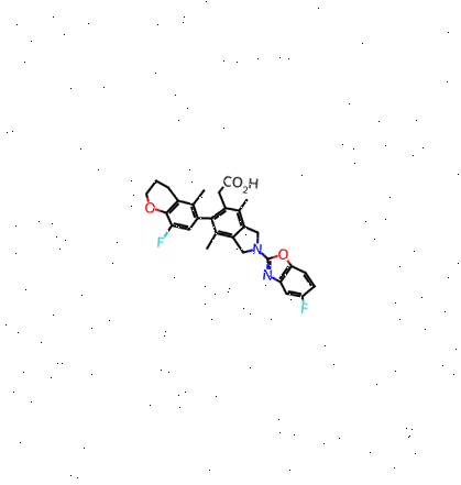 Cc1c(-c2c(C)c3c(c(C)c2CC(=O)O)CN(c2nc4cc(F)ccc4o2)C3)cc(F)c2c1CCCO2